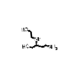 NCCC(CO)NCCO